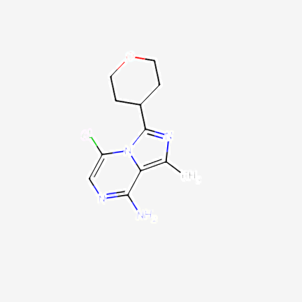 Cc1nc(C2CCOCC2)n2c(Cl)cnc(N)c12